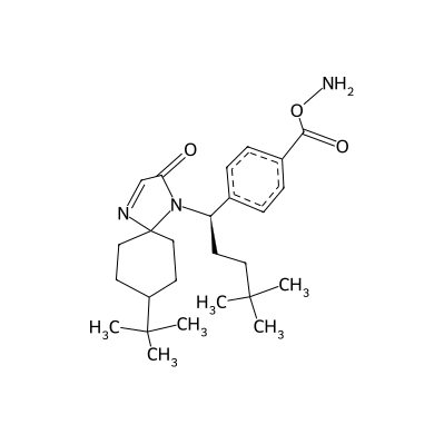 CC(C)(C)CC[C@H](c1ccc(C(=O)ON)cc1)N1C(=O)C=NC12CCC(C(C)(C)C)CC2